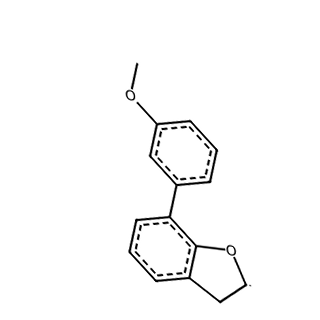 COc1cccc(-c2cccc3c2O[CH]C3)c1